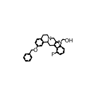 OCn1c2c(c3c(F)cccc31)CC1c3cc(OCc4ccccc4)ccc3CCN1C2